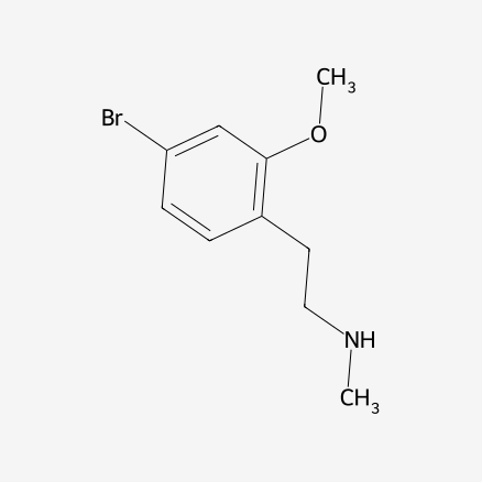 CNCCc1ccc(Br)cc1OC